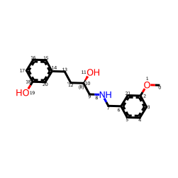 COc1cccc(CNC[C@H](O)[CH]Cc2cccc(O)c2)c1